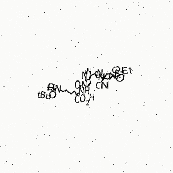 CCS(=O)(=O)N1CC(CC#N)(n2cc(-c3ncnc4c3ccn4C(=O)NC(CCCCNC(=O)OC(C)(C)C)C(=O)O)cn2)C1